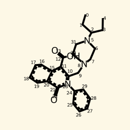 CCC(CC)N1CCN(Cc2c(C(=O)O)c3ccccc3c(=O)n2-c2ccccc2)CC1